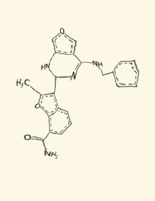 Cc1oc2c(C(N)=O)cccc2c1C1N=C(NCc2ccccc2)c2cocc2N1